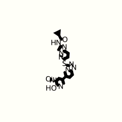 [C-]#[N+]c1cc(-c2ccc3nnc(Sc4ccc5nc(NC(=O)C6CC6)cn5n4)n3c2)cnc1O